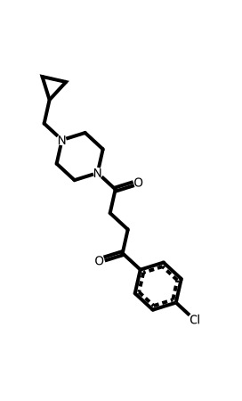 O=C(CCC(=O)N1CCN(CC2CC2)CC1)c1ccc(Cl)cc1